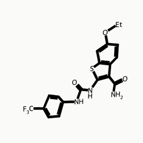 CCOc1ccc2c(C(N)=O)c(NC(=O)Nc3ccc(C(F)(F)F)cc3)sc2c1